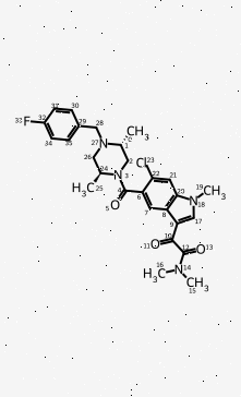 C[C@@H]1CN(C(=O)c2cc3c(C(=O)C(=O)N(C)C)cn(C)c3cc2Cl)[C@@H](C)CN1Cc1ccc(F)cc1